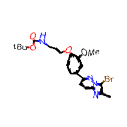 COc1cc(-c2ccc3nc(C)c(Br)n3n2)ccc1OCCCNC(=O)OC(C)(C)C